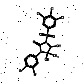 CC1(O)C(O)N(S(=O)(=O)c2cc(Cl)c(Cl)c(Cl)c2)C(=O)N1c1ccc(Br)c(Br)c1